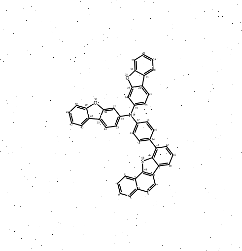 c1ccc2c(c1)ccc1c3cccc(-c4ccc(N(c5ccc6c(c5)oc5ccccc56)c5ccc6c(c5)oc5ccccc56)cc4)c3sc21